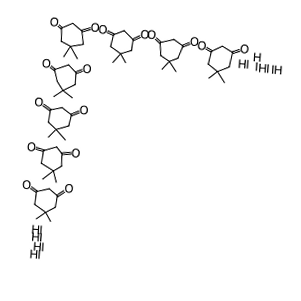 CC1(C)CC(=O)CC(=O)C1.CC1(C)CC(=O)CC(=O)C1.CC1(C)CC(=O)CC(=O)C1.CC1(C)CC(=O)CC(=O)C1.CC1(C)CC(=O)CC(=O)C1.CC1(C)CC(=O)CC(=O)C1.CC1(C)CC(=O)CC(=O)C1.CC1(C)CC(=O)CC(=O)C1.I.I.I.I.I.I.I.I